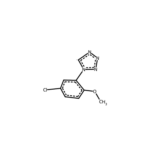 COc1ccc(Cl)cc1-n1[c]nnn1